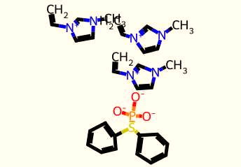 C=C[n+]1ccn(C)c1.C=C[n+]1ccn(C)c1.C=C[n+]1ccn(C)c1.[O-]P([O-])([O-])=S(c1ccccc1)c1ccccc1